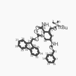 CC(C)(C)[Si](C)(C)OCC1=CC(NOCc2ccccc2)CN(C(=O)OCC2c3ccccc3-c3ccccc32)C1C(N)=O